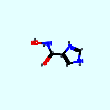 O=C(NO)c1c[nH]cn1